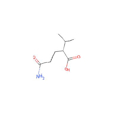 CC(C)C(CCC(N)=O)C(=O)O